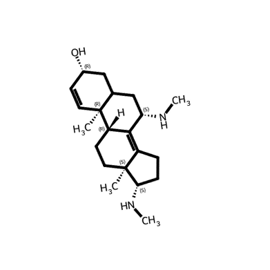 CN[C@H]1CC2C[C@@H](O)C=C[C@]2(C)[C@H]2CC[C@@]3(C)C(=C12)CC[C@@H]3NC